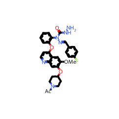 COc1cc2c(Oc3ccccc3N(N=Cc3ccc(F)cc3)C(=O)NN)ccnc2cc1OC1CCN(C(C)=O)CC1